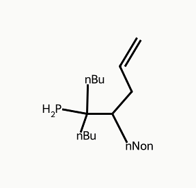 C=CCC(CCCCCCCCC)C(P)(CCCC)CCCC